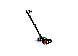 C#C[C@]1(OC(=O)CCCCCCCCCCCCCCCCCCCCCCC)CC[C@H]2[C@@H]3CCC4CC=CC[C@@H]4[C@H]3CC[C@@]21C